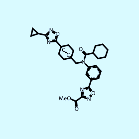 COC(=O)c1noc(-c2cccc(N(CC34CCC(c5nc(C6CC6)no5)(CC3)CC4)C(=O)C3CCCCC3)c2)n1